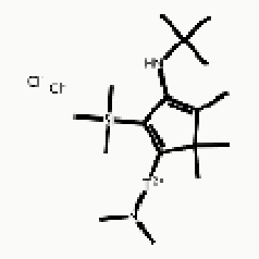 CC1=C(NC(C)(C)C)C([Si](C)(C)C)=[C]([Ti+2][N](C)C)C1(C)C.[Cl-].[Cl-]